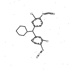 O=C=Nc1ccc(C(c2ccc(N=C=O)c(Cl)c2)C2CCCCC2)cc1Cl